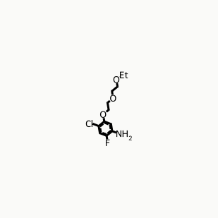 CCOCCOCCOc1cc(N)c(F)cc1Cl